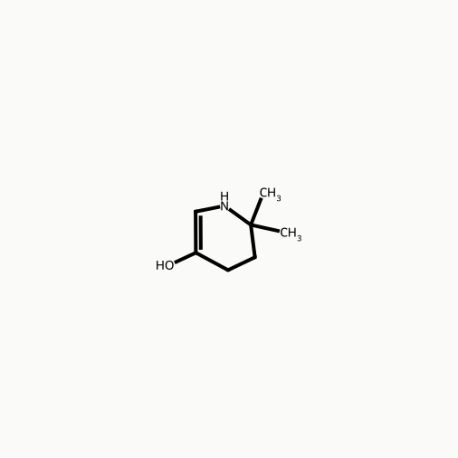 CC1(C)CCC(O)=CN1